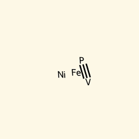 [Fe].[Ni].[P]#[V]